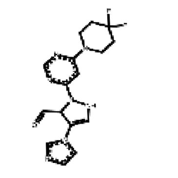 O=CC1C(n2ccnc2)=CNN1c1cc(N2CCC(F)(F)CC2)ncn1